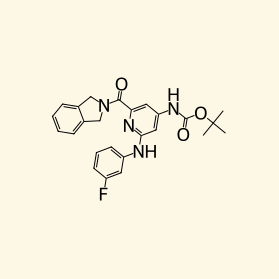 CC(C)(C)OC(=O)Nc1cc(Nc2cccc(F)c2)nc(C(=O)N2Cc3ccccc3C2)c1